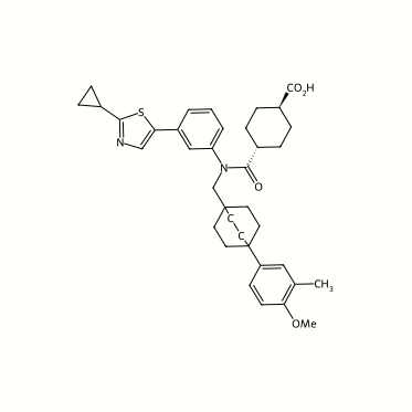 COc1ccc(C23CCC(CN(c4cccc(-c5cnc(C6CC6)s5)c4)C(=O)[C@H]4CC[C@H](C(=O)O)CC4)(CC2)CC3)cc1C